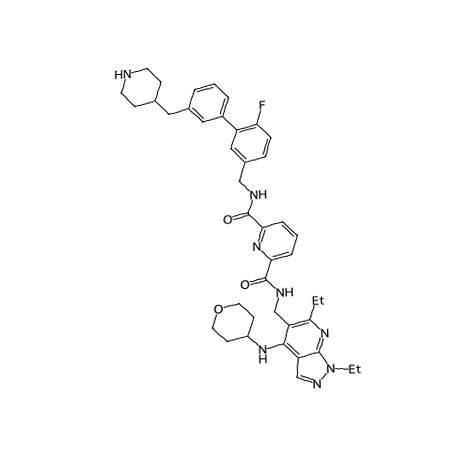 CCc1nc2c(cnn2CC)c(NC2CCOCC2)c1CNC(=O)c1cccc(C(=O)NCc2ccc(F)c(-c3cccc(CC4CCNCC4)c3)c2)n1